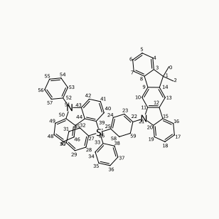 CC1(C)c2ccccc2-c2cc3c(cc21)c1ccccc1n3C1=CC=C([Si](C2=CC=CCC2)(c2ccccc2)c2cccc3c2c2ccccc2n3-c2ccccc2)CC1